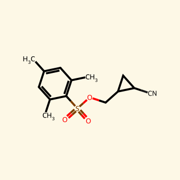 Cc1cc(C)c(S(=O)(=O)OCC2CC2C#N)c(C)c1